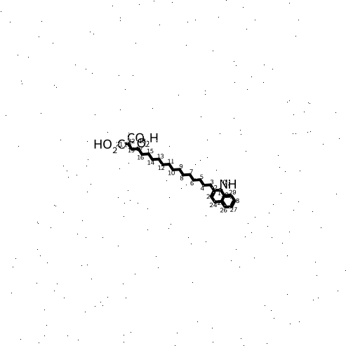 N=C1C(CCCCCCCCCCCCCCC(=O)CC(C(=O)O)C(=O)O)=CCc2ccccc21